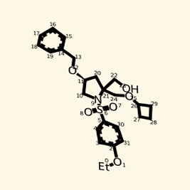 CCOc1ccc(S(=O)(=O)N2C[C@@H](OCc3ccccc3)CC2(CO)COC2CCC2)cc1